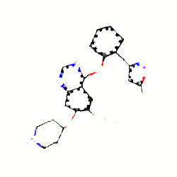 COc1cc2c(Oc3c[c]ccc3-c3cc(C(C)(C)C)on3)ncnc2cc1OC1CCNCC1